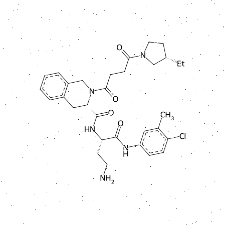 CC[C@H]1CCN(C(=O)CCC(=O)N2Cc3ccccc3C[C@H]2C(=O)N[C@@H](CCN)C(=O)Nc2ccc(Cl)c(C)c2)C1